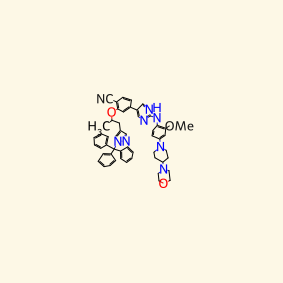 COc1cc(N2CCC(N3CCOCC3)CC2)ccc1Nc1ncc(-c2ccc(C#N)c(OC(C)Cc3cnn(C(c4ccccc4)(c4ccccc4)c4ccccc4)c3)c2)cn1